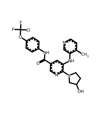 Cc1ccncc1Nc1cc(C(=O)Nc2ccc(OC(F)(F)Cl)cc2)cnc1N1CCC(O)C1